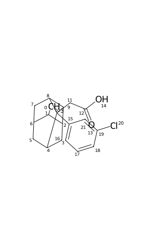 CC1C2CC3CC1CC(C2)C3(CC(=O)O)c1cccc(Cl)c1